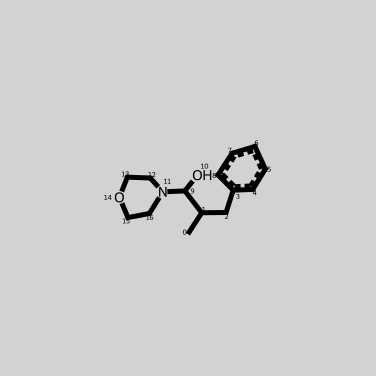 CC(Cc1ccccc1)C(O)N1CCOCC1